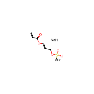 C=CC(=O)OC=CCOS(=O)(=O)CCC.[NaH]